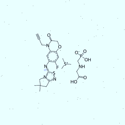 C#CCN1C(=O)COc2cc(F)c(/N=c3\snc4n3CC(C)(C)C4)cc21.C[S+](C)C.O=C(O)CNCP(=O)([O-])O